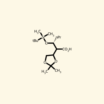 CCC[C@@H](O[Si](C)(C)C(C)(C)C)C(C(=O)O)C1COC(C)(C)O1